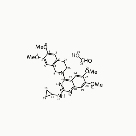 COc1cc2c(cc1OC)CN(c1nc(NC3CC3)nc3cc(OC)c(OC)cc13)CC2.O=CO